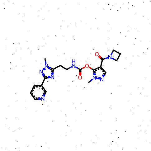 Cn1nc(-c2cccnc2)nc1CCNC(=O)Oc1c(C(=O)N2CCC2)cnn1C